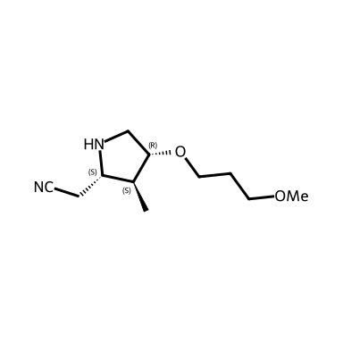 COCCCO[C@H]1CN[C@@H](CC#N)[C@@H]1C